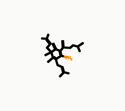 C=C(CCC(C)C)C1=C(P)C(CC=C(C)C)=C(C)C(C)(CC=C(C)C)C1=C